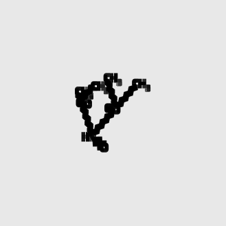 CCCCCCCCC(CCCCCCCC)OC(=O)CCCCCCCC(CCCCCCCC(=O)OC(CC)CCCCC)NC1CC2(COC2)C1